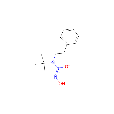 CC(C)(C)N(CCc1ccccc1)/[N+]([O-])=N/O